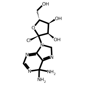 NC1(N)N=CN=C2C1=NCN2[C@]1(Cl)O[C@H](CO)[C@@H](O)[C@H]1O